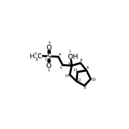 CS(=O)(=O)CCC1(O)CC2CCC(C2)C1